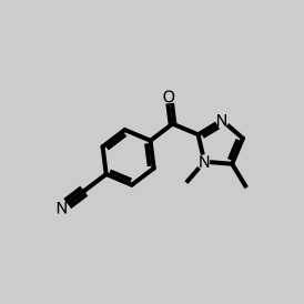 Cc1cnc(C(=O)c2ccc(C#N)cc2)n1C